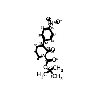 CC(C)(C)OC(=O)N1CCCC(c2ccc([N+](=O)[O-])cc2)C1=O